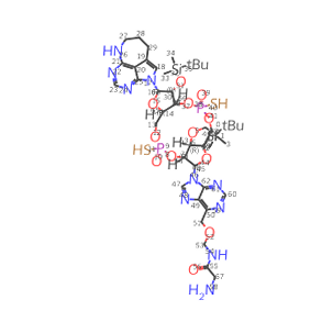 CC(C)(C)[Si](C)(C)CO[C@H]1[C@H]2OP(=O)(S)OC[C@H]3O[C@@H](n4cc5c6c(ncnc64)NCCC5)[C@H](O[Si](C)(C)C(C)(C)C)[C@@H]3OP(=O)(S)OC[C@H]1O[C@H]2n1cnc2c(COCNC(=O)CN)ncnc21